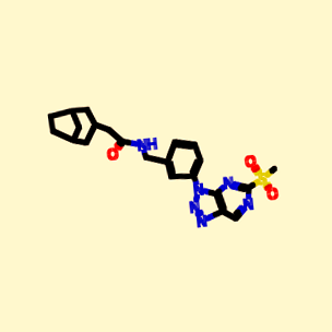 CS(=O)(=O)c1ncc2nnn(-c3cccc(CNC(=O)CC4CC5CCC(C5)C4)c3)c2n1